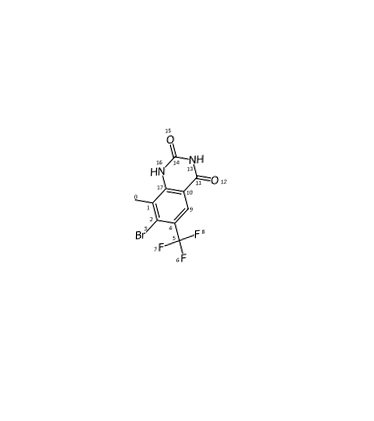 Cc1c(Br)c(C(F)(F)F)cc2c(=O)[nH]c(=O)[nH]c12